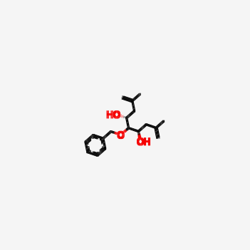 C=C(C)C[C@@H](O)C(OCc1ccccc1)[C@H](O)CC(=C)C